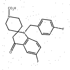 O=C1CC2(CCN(C(=O)O)CC2)N(Cc2ccc(F)cc2)c2ccc(F)cc21